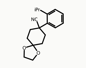 CC(C)c1ccccc1C1(C#N)CCC2(CC1)OCCO2